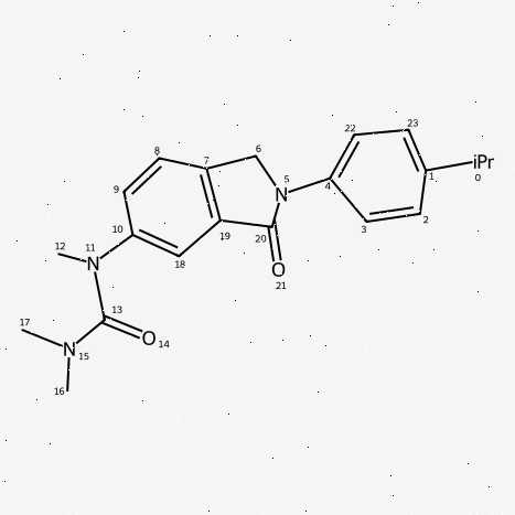 CC(C)c1ccc(N2Cc3ccc(N(C)C(=O)N(C)C)cc3C2=O)cc1